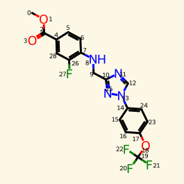 COC(=O)c1ccc(NCc2ncn(-c3ccc(OC(F)(F)F)cc3)n2)c(F)c1